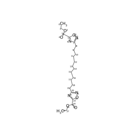 CCOC(=O)c1nc(CCCCCCCCCCCCc2noc(C(=O)OCC)n2)no1